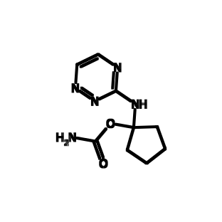 NC(=O)OC1(Nc2nccnn2)CCCC1